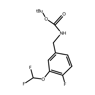 CC(C)(C)OC(=O)NCc1ccc(F)c(OC(F)F)c1